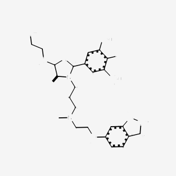 CN(CCCN1C(=O)C(OCCO)SC1c1cc(C(C)(C)C)c(O)c(C(C)(C)C)c1)CCOc1ccc2c(c1)OOC2